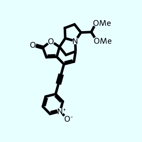 COC(OC)C1CCC2N1C1C=C(C#Cc3ccc[n+]([O-])c3)C3=CC(=O)OC32C1